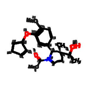 COC(=O)N1CC[C@](C)([C@H](C)O)[C@H]1c1ccc(OC)c(OC2CCCC2)c1